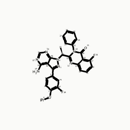 CC(C)Oc1ccc(-c2nn([C@@H](C)c3nc4cccc(F)c4c(=O)n3-c3ccccc3)c3ncnc(N)c23)cc1F